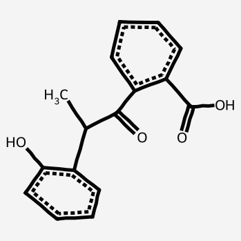 CC(C(=O)c1ccccc1C(=O)O)c1ccccc1O